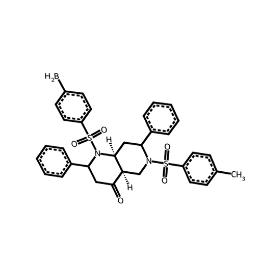 Bc1ccc(S(=O)(=O)N2C(c3ccccc3)CC(=O)[C@@H]3CN(S(=O)(=O)c4ccc(C)cc4)C(c4ccccc4)C[C@@H]32)cc1